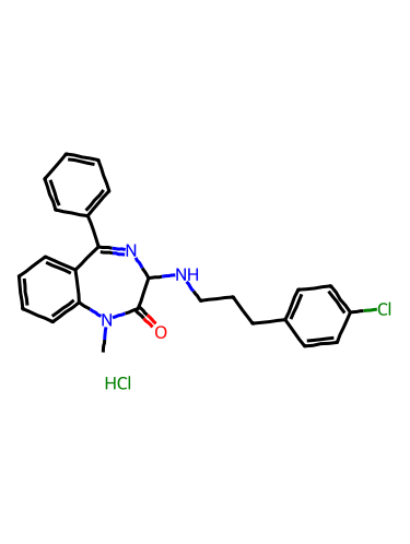 CN1C(=O)C(NCCCc2ccc(Cl)cc2)N=C(c2ccccc2)c2ccccc21.Cl